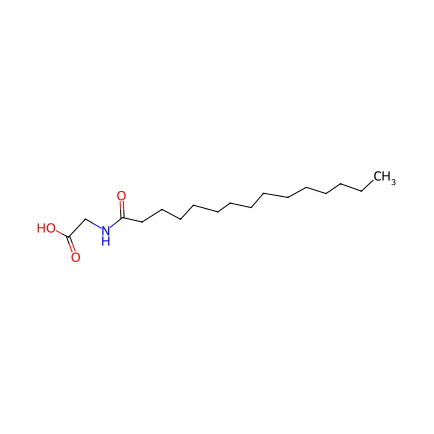 CCCCCCCCCCCCCCC(=O)NCC(=O)O